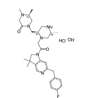 C[C@@H]1CN(CC(=O)N2CC(C)(C)c3cnc(Cc4ccc(F)cc4)cc32)[C@@H](CN2C[C@H](C)N(C)CC2=O)CN1.Cl.Cl